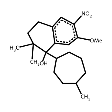 COc1cc2c(cc1[N+](=O)[O-])CCC(C)(C)C2(O)C1CCCC(C)CC1